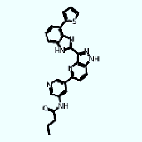 CCCC(=O)Nc1cncc(-c2ccc3[nH]nc(-c4nc5c(-c6cccs6)cccc5[nH]4)c3n2)c1